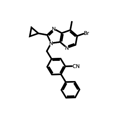 Cc1c(Br)cnc2c1nc(C1CC1)n2Cc1ccc(-c2ccccc2)c(C#N)c1